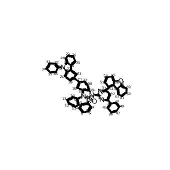 O=P1(c2ccccc2)N(c2ccccc2)c2cc(-c3ccc4c(c3)c3ccccc3n4-c3ccccc3)ccc2N1c1nc(-c2ccccc2)cc(-c2cccc3oc4ccccc4c23)n1